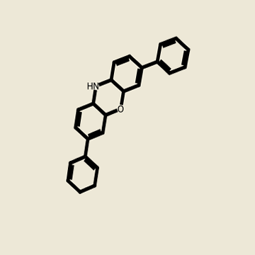 C1=CC(C2=CC3OC4C=C(c5ccccc5)C=CC4NC3C=C2)=CCC1